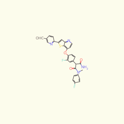 CN(C(=O)C(C(N)=O)c1ccc(Oc2ccnc3cc(-c4ccc(C=O)cn4)sc23)c(F)c1)c1ccc(F)cc1